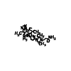 Cc1c(-c2[nH]c3ccc(N4C[C@H](C)N(CCC(N)=O)C[C@H]4C)nc3c2C(C)C)cn2ncnc2c1C